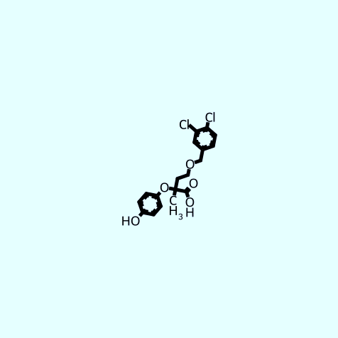 CC(CCOCc1ccc(Cl)c(Cl)c1)(Oc1ccc(O)cc1)C(=O)O